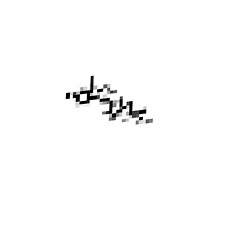 CC1(C)CN1c1nc2cc(N3CCc4[nH]c5cc(F)ccc5c4C3)ccc2o1